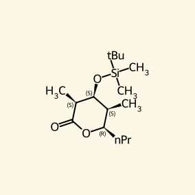 CCC[C@H]1OC(=O)[C@@H](C)[C@@H](O[Si](C)(C)C(C)(C)C)[C@H]1C